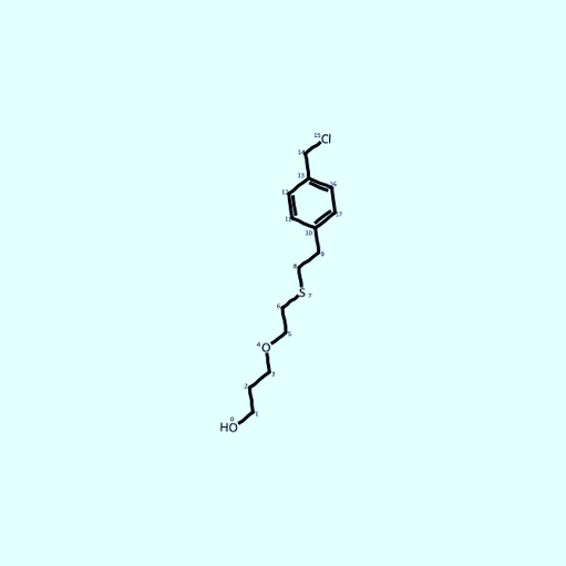 OCCCOCCSCCc1ccc(CCl)cc1